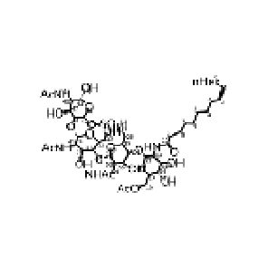 CCCCCC/C=C\CCCCCCCC(=O)NC1C(O)[C@H](O)C(COC(C)=O)O[C@H]1O[C@H]1C(CO)O[C@@H](O[C@@H]2C(CO)O[C@@H](O[C@@H]3C(OS(=O)(=O)O)O[C@@H](O)C(NC(C)=O)C3O)C(NC(C)=O)C2O)C(NC(C)=O)C1O